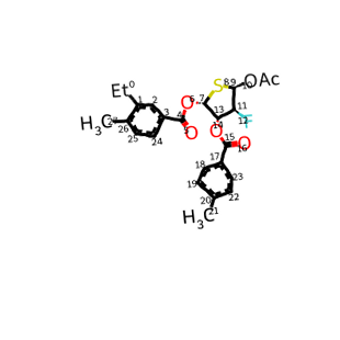 CCc1cc(C(=O)O[C@@H]2S[C@@H](OC(C)=O)[C@@H](F)[C@@H]2OC(=O)c2ccc(C)cc2)ccc1C